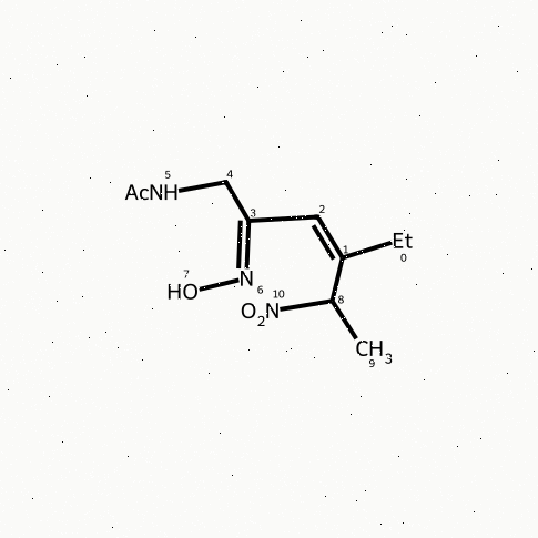 CCC(=CC(CNC(C)=O)=NO)C(C)[N+](=O)[O-]